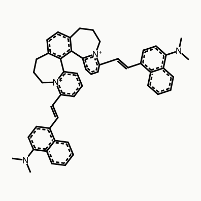 CN(C)c1ccc(/C=C/c2cccc3[n+]2CCCc2ccc4c(c2-3)-c2cccc(/C=C/c3ccc(N(C)C)c5ccccc35)[n+]2CCC4)c2ccccc12